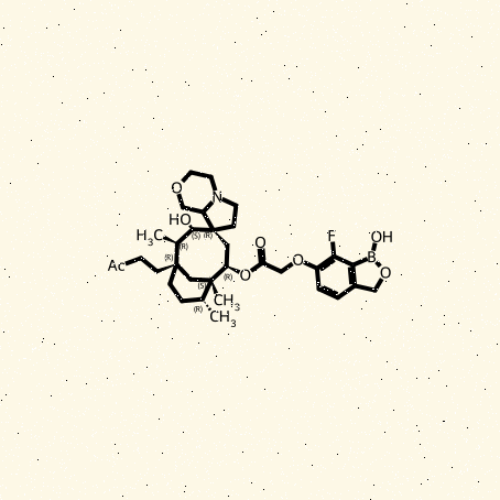 CC(=O)CC[C@]12CC[C@@H](C)[C@](C)(C1)[C@H](OC(=O)COc1ccc3c(c1F)B(O)OC3)C[C@@]1(CCN3CCOCC31)[C@@H](O)[C@@H]2C